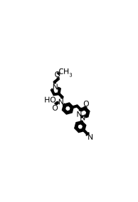 COCCN1CCC(CN(C(=O)O)c2cccc(Cc3nn(-c4cccc(C#N)c4)ccc3=O)c2)C1